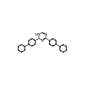 C1=NC(c2ccc(-c3ccccc3)cc2)=NC(c2ccc(-c3ccccc3)cc2)N1